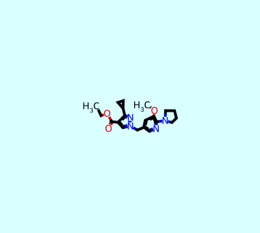 CCOC(=O)c1cn(Cc2cnc(N3CCCC3)c(OC)c2)nc1C1CC1